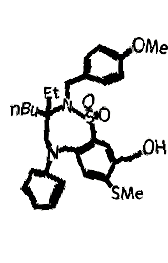 CCCCC1(CC)CN(c2ccccc2)c2cc(SC)c(CO)cc2S(=O)(=O)N1Cc1ccc(OC)cc1